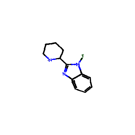 Fn1c(C2CCCC[N]2)nc2ccccc21